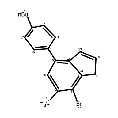 CCCCc1ccc(-c2cc(C)c(Br)c3c2C=CC3)cc1